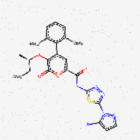 COC[C@@H](C)Oc1c(-c2c(OC)cccc2OC)cc(C(=O)Nc2nnc(-n3nccc3N)s2)oc1=O